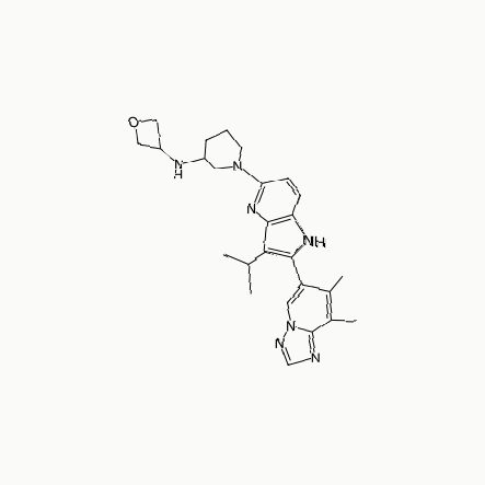 Cc1c(-c2[nH]c3ccc(N4CCCC(NC5COC5)C4)nc3c2C(C)C)cn2ncnc2c1C